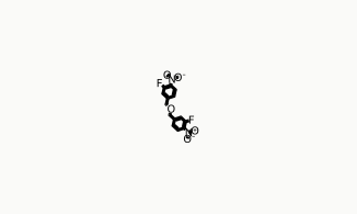 O=[N+]([O-])c1ccc(COCc2ccc([N+](=O)[O-])c(F)c2)cc1F